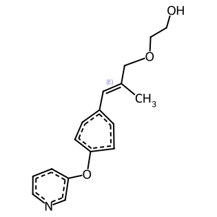 C/C(=C\c1ccc(Oc2cccnc2)cc1)COCCO